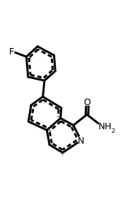 NC(=O)c1n[c]cc2ccc(-c3cccc(F)c3)cc12